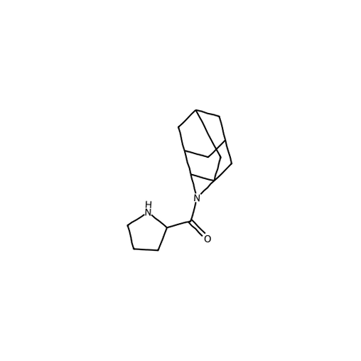 O=C(C1CCCN1)N1C2C3CC4CC(C3)CC21C4